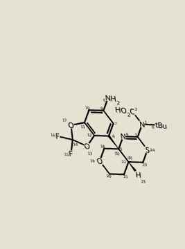 CC(C)(C)N(C(=O)O)C1=N[C@@]2(c3cc(N)cc4c3OC(F)(F)O4)COCC[C@H]2CS1